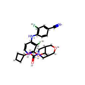 N#Cc1ccc(Nc2ccnc(OC3C4COCC3CN(C(=O)OC3CCC3)C4)c2F)c(F)c1